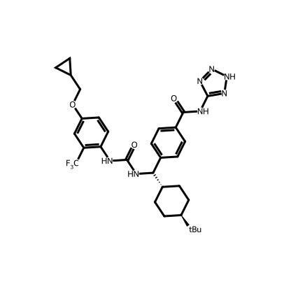 CC(C)(C)[C@H]1CC[C@H](C(NC(=O)Nc2ccc(OCC3CC3)cc2C(F)(F)F)c2ccc(C(=O)Nc3nn[nH]n3)cc2)CC1